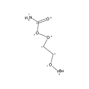 CCCCOCCOOC(N)=O